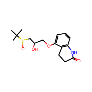 CC(C)(C)[S+]([O-])CC(O)COc1cccc2c1CCC(=O)N2